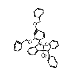 O=C1N(c2ccc(OCc3ccccc3)cc2OCc2ccccc2)c2ccccc2C1(O)C(c1ccccc1)c1ccccc1